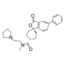 CN(CCN1CCCC1)C(=O)[C@H]1CC[C@@]2(CC1)OC(=O)c1cc(-c3ccccc3)ccc12